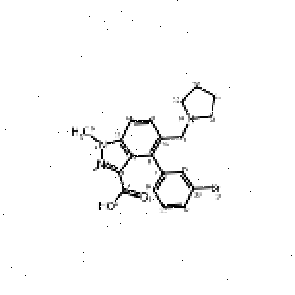 Cn1nc(C(=O)O)c2c(-c3cccc(Br)c3)c(CN3CCCC3)ccc21